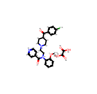 COc1ccccc1N(CCN1CCC(C(=O)c2ccc(F)cc2)CC1)C(=O)c1ccncc1.O=C(O)C(=O)O